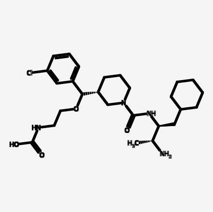 C[C@@H](N)[C@H](CC1CCCCC1)NC(=O)N1CCC[C@@H](C(OCCNC(=O)O)c2cccc(Cl)c2)C1